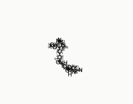 Cc1cc(-c2ccc(C3=N[C@@H](CC(=O)OC(C)(C)C)c4nnc(C)n4-c4sc(C)c(C)c43)cc2)ccc1C(=O)NCc1ccc(S(=O)(=O)Nc2ccc(C)c3c(C#N)c[nH]c23)cc1